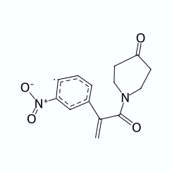 C=C(C(=O)N1CCC(=O)CC1)c1cc[c]c([N+](=O)[O-])c1